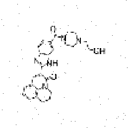 O=C(c1ccc2nc(-c3cc4cccc5c4n(c3=O)CCC5)[nH]c2c1)N1CCN(CCO)CC1